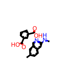 CNc1cc2ccc(C)cc2cn1.O=C(O)c1cccc(C(=O)O)c1